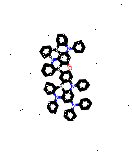 c1ccc(N(c2ccccc2)c2cc3c4c(c2)N(c2ccccc2)c2cc5c(cc2B4c2ccccc2N3c2ccccc2)B2c3ccccc3N3c4ccccc4B4c6ccccc6N(c6ccccc6)c6cc(c2c3c64)O5)cc1